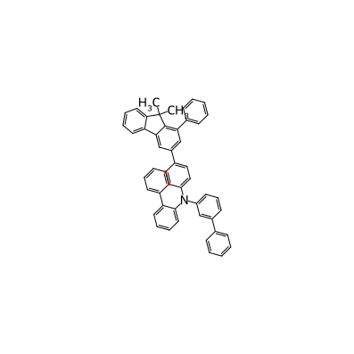 CC1(C)c2ccccc2-c2cc(-c3ccc(N(c4cccc(-c5ccccc5)c4)c4ccccc4-c4ccccc4)cc3)cc(-c3ccccc3)c21